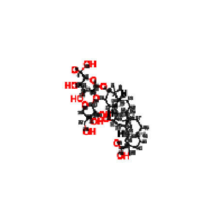 CC1(C)[C@@H](O[C@@H]2O[C@H](C(=O)O)[C@@H](O)[C@H](O)[C@H]2O[C@@H]2OC[C@](O)(CO)[C@H]2O)CC[C@]2(C)[C@H]3C(=O)C=C4[C@@H]5C[C@@](C)(C(=O)O)CC[C@]5(C)CC[C@@]4(C)[C@]3(C)CC[C@@H]12